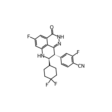 N#Cc1ccc([C@H]2c3n[nH]c(=O)c4cc(F)cc(c34)N[C@@H]2C2CCC(F)(F)CC2)cc1F